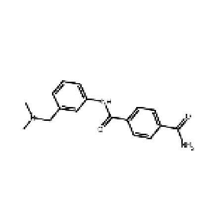 CN(C)Cc1cccc(NC(=O)c2ccc(C(N)=O)cc2)c1